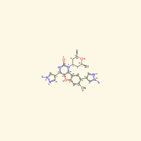 CC[C@H]1CC(n2c(=O)nc(-c3cnn(C)c3)c3oc4cc(C#N)c(-c5cnn(C)c5)cc4c32)C[C@@H](C)O1